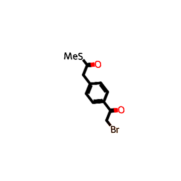 CSC(=O)Cc1ccc(C(=O)CBr)cc1